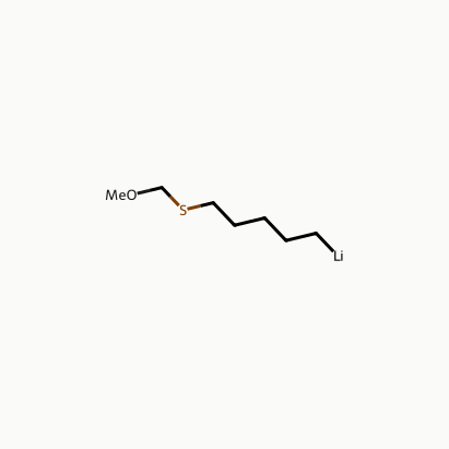 [Li][CH2]CCCCSCOC